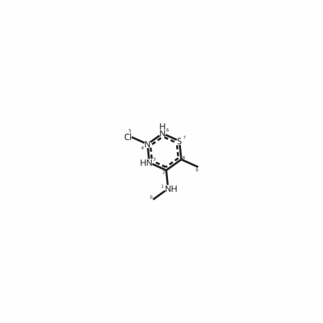 CNc1[nH]n(Cl)[nH]sc1C